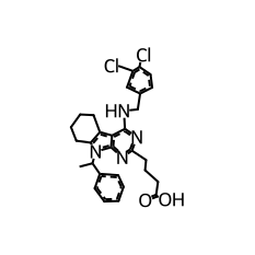 CC(c1ccccc1)n1c2c(c3c(NCc4ccc(Cl)c(Cl)c4)nc(CCCC(=O)O)nc31)CCCC2